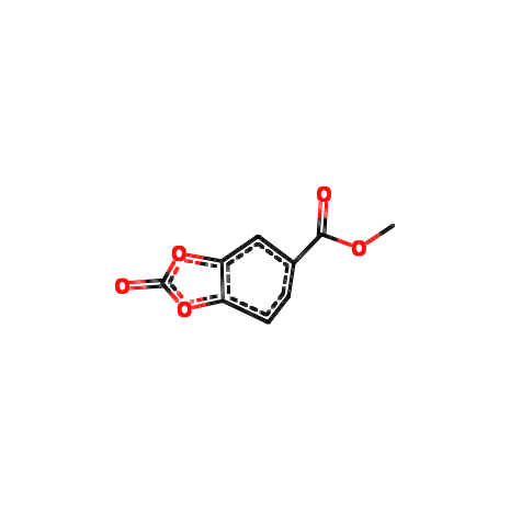 COC(=O)c1ccc2oc(=O)oc2c1